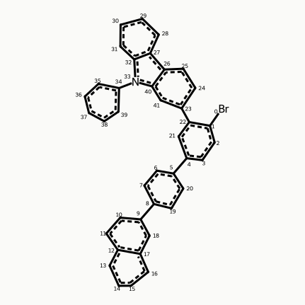 Brc1ccc(-c2ccc(-c3ccc4ccccc4c3)cc2)cc1-c1ccc2c3ccccc3n(-c3ccccc3)c2c1